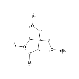 CCCCOCC(COCC)(COCC)COCC